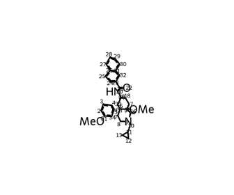 COc1cccc([C@@]23CCN(CC4CC4)C[C@@]2(OC)CC[C@H](NC(=O)c2ccc4ccccc4c2)C3)c1